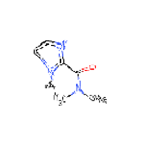 CON(C)C(=O)c1nccn1C(C)C